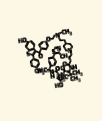 CCN(CCOc1ccc(C(=O)c2c(-c3ccc(O)cc3)sc3cc(O)ccc23)cc1)CCC1CCN(CCCC(=O)N[C@H](C(=O)N2C[C@H](O)C[C@H]2C(=O)N[C@@H](C)c2ccc(-c3scnc3C)cc2)C(C)(C)C)CC1